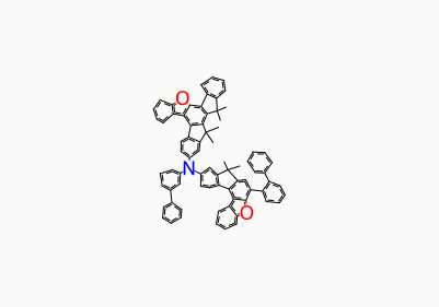 CC1(C)c2cc(N(c3cccc(-c4ccccc4)c3)c3ccc4c(c3)C(C)(C)c3c5c(c6oc7ccccc7c6c3-4)-c3ccccc3C5(C)C)ccc2-c2c1cc(-c1ccccc1-c1ccccc1)c1oc3ccccc3c21